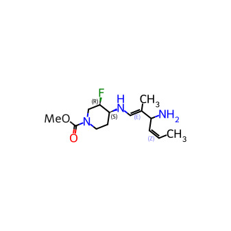 C/C=C\C(N)/C(C)=C/N[C@H]1CCN(C(=O)OC)C[C@H]1F